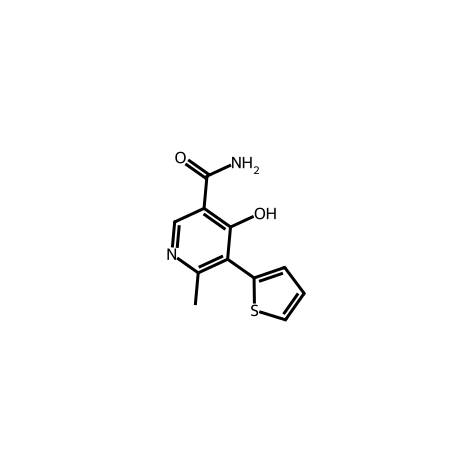 Cc1ncc(C(N)=O)c(O)c1-c1cccs1